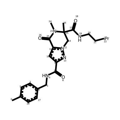 Cc1ccc(CNC(=O)c2cc3n(n2)CC(C)(C(=O)NCCC(C)C)N(C)C3=O)cc1